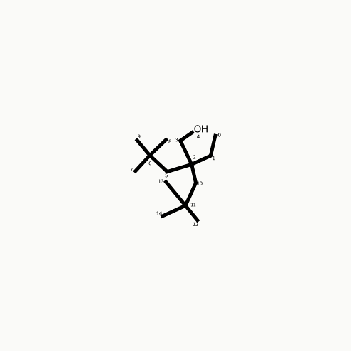 CCC(CO)(CC(C)(C)C)CC(C)(C)C